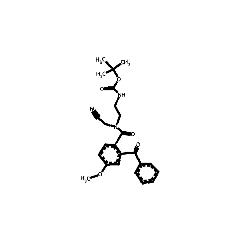 COc1ccc(C(=O)N(CC#N)CCNC(=O)OC(C)(C)C)c(C(=O)c2ccccc2)c1